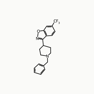 FC(F)(F)c1ccc2c(C3CCN(Cc4ccccc4)CC3)noc2c1